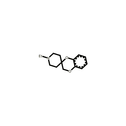 CCN1CCC2(CC1)COc1ccccc1O2